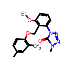 CCOc1cccc(-n2nnn(C)c2=O)c1COc1ccc(C)cc1C(F)(F)F